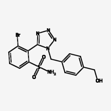 NS(=O)(=O)c1cccc(Br)c1-c1nnnn1Cc1ccc(CO)cc1